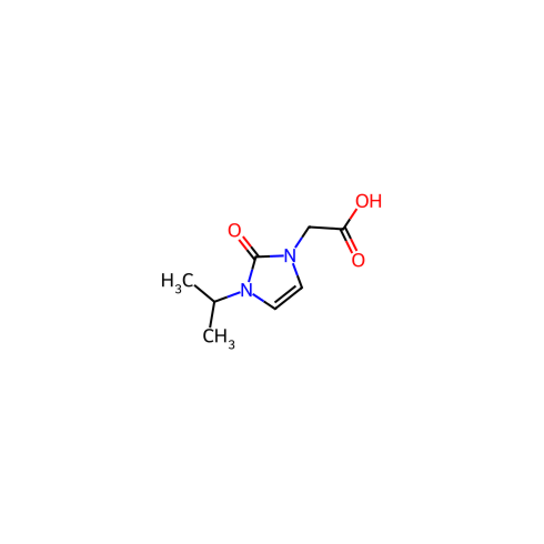 CC(C)n1ccn(CC(=O)O)c1=O